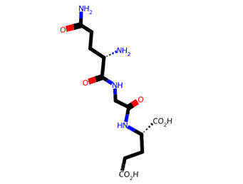 NC(=O)CC[C@H](N)C(=O)NCC(=O)N[C@@H](CCC(=O)O)C(=O)O